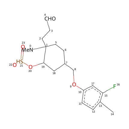 CNC1(CCC=O)CCC(COc2ccc(C)c(F)c2)CC1O[SH](=O)=O